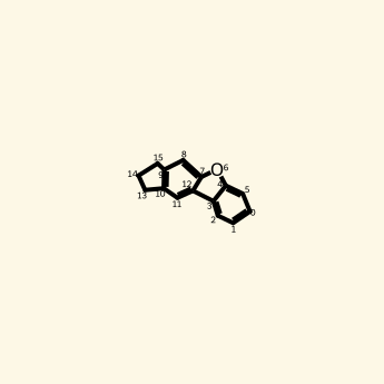 c1ccc2c(c1)oc1cc3c(cc12)CCC3